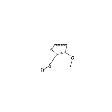 COc1ccsc1SCl